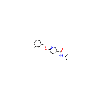 CC(C)NC(=O)c1ccc(OCc2cccc(F)c2)nc1